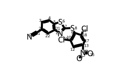 N#Cc1ccc2sc(Sc3c(Cl)cc([N+](=O)[O-])cc3Cl)nc2c1